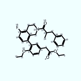 CCOC(=O)Cc1ccc(OCC)c(-c2ccc(F)c3c2CN(C(=O)C(C)Cc2ccccc2)CC3)c1